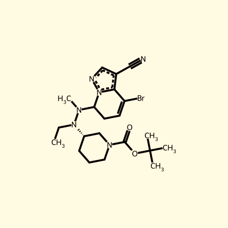 CCN([C@H]1CCCN(C(=O)OC(C)(C)C)C1)N(C)C1CC=C(Br)c2c(C#N)cnn21